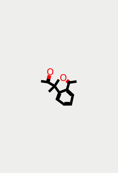 CC(=O)c1ccccc1C(C)(C)C(C)=O